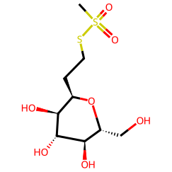 CS(=O)(=O)SCC[C@H]1O[C@H](CO)[C@@H](O)[C@H](O)[C@H]1O